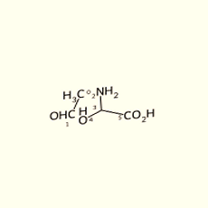 CC=O.NC(O)C(=O)O